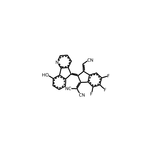 N#C/C=C1/C(=C2\c3cccnc3-c3c(O)cccc32)C(=C(C#N)C#N)c2c1cc(F)c(F)c2F